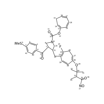 CSc1ccc(C(=O)C2CN(C(=O)OC3=CCC=CC=C3)CC2CC2=C(F)CC=C(OC(C)(C)C(C)C(=O)N=O)C=C2)cc1